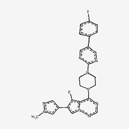 Cn1cc(-c2cn3ncnc(N4CCN(c5ncc(-c6ccc(F)cc6)cn5)CC4)c3c2F)cn1